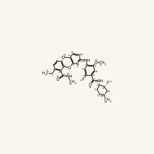 CCc1cccc(Oc2nc(Nc3cc(F)c(C(=O)N[C@H]4CCN(C)C[C@H]4F)cc3OC)ncc2Cl)c1C(=O)NC